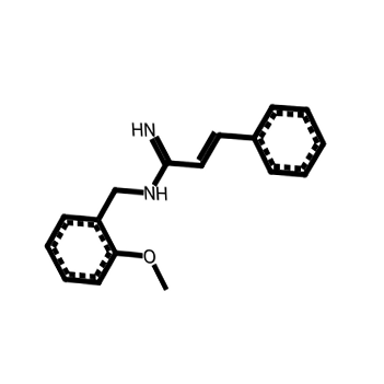 COc1ccccc1CNC(=N)C=Cc1ccccc1